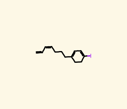 C=C/C=C\CCCC1=CC=C(I)CC1